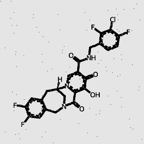 O=C(NCc1ccc(F)c(Cl)c1F)c1cn2c(c(O)c1=O)C(=O)N1Cc3cc(F)c(F)cc3C[C@H]2C1